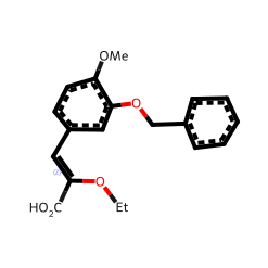 CCO/C(=C\c1ccc(OC)c(OCc2ccccc2)c1)C(=O)O